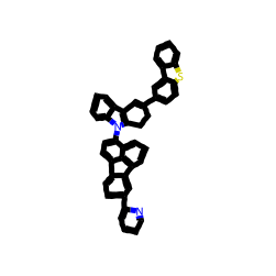 C1=C(c2ccc3sc4ccccc4c3c2)CCc2c1c1ccccc1n2-c1ccc2c3c(cccc13)-c1cc(-c3ccccn3)ccc1-2